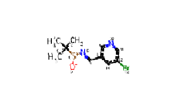 CC(C)(C)[S@@+]([O-])N=Cc1cncc(Br)c1